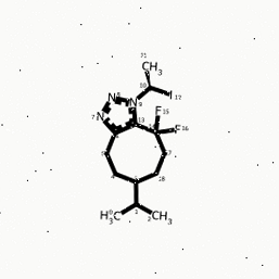 CC(C)C1CCc2nnn([C@@H](C)I)c2C(F)(F)CC1